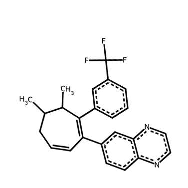 CC1CC=CC(c2ccc3nccnc3c2)=C(c2cccc(C(F)(F)F)c2)C1C